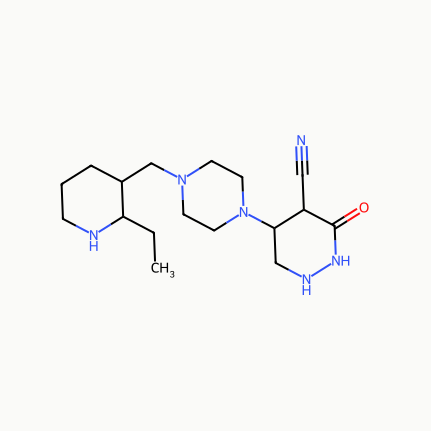 CCC1NCCCC1CN1CCN(C2CNNC(=O)C2C#N)CC1